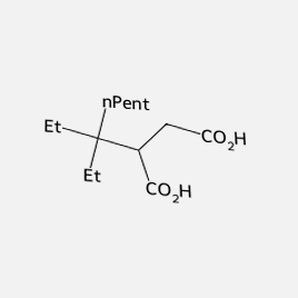 CCCCCC(CC)(CC)C(CC(=O)O)C(=O)O